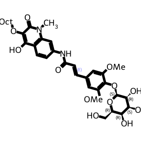 CCCCCCCCOc1c(O)c2ccc(NC(=O)/C=C/c3cc(OC)c(O[C@@H]4O[C@H](CO)[C@H](O)[C@H](O)[C@H]4O)c(OC)c3)cc2n(C)c1=O